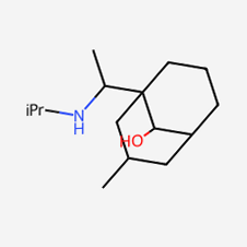 CC1CC2CCCC(C(C)NC(C)C)(C1)C2O